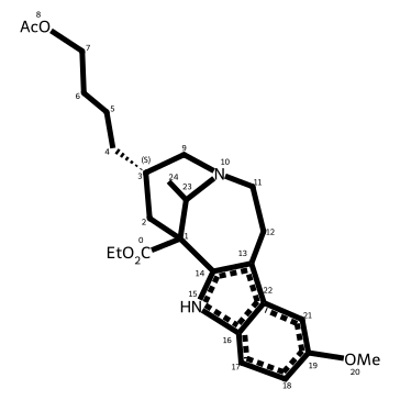 CCOC(=O)C12C[C@H](CCCCOC(C)=O)CN(CCc3c1[nH]c1ccc(OC)cc31)C2C